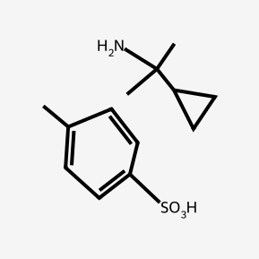 CC(C)(N)C1CC1.Cc1ccc(S(=O)(=O)O)cc1